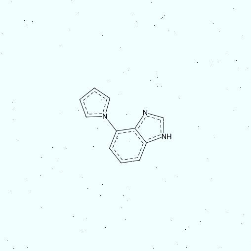 c1cc(-n2cccc2)c2nc[nH]c2c1